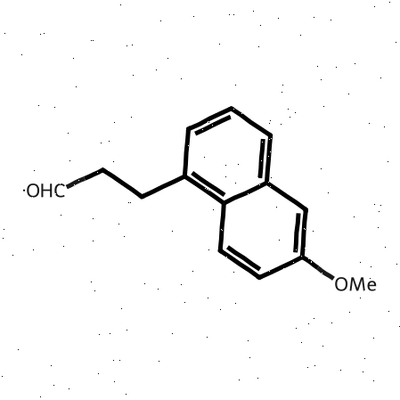 COc1ccc2c(CC[C]=O)cccc2c1